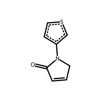 O=C1C=CCN1c1ccsc1